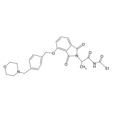 CCC(=O)NC(=O)C(C)N1C(=O)c2cccc(OCc3ccc(CN4CCOCC4)cc3)c2C1=O